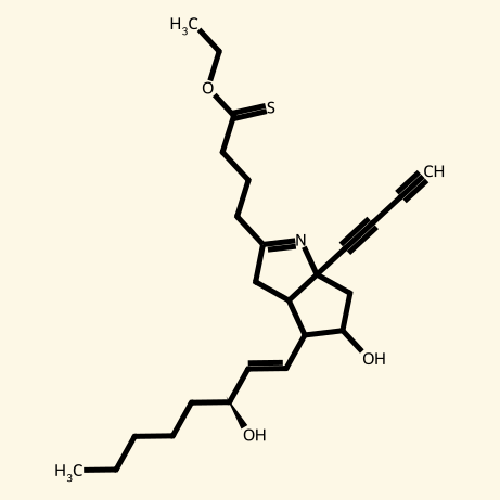 C#CC#CC12CC(O)C(C=C[C@@H](O)CCCCC)C1CC(CCCC(=S)OCC)=N2